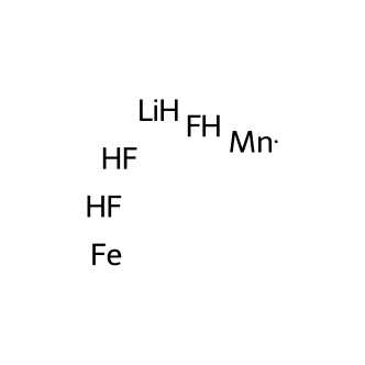 F.F.F.[Fe].[LiH].[Mn]